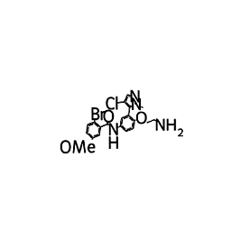 COc1ccc(Br)c(C(=O)Nc2ccc(OCCN)c(-c3c(Cl)cnn3C)c2)c1